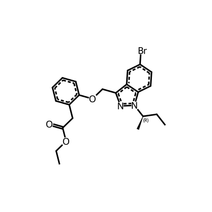 CCOC(=O)Cc1ccccc1OCc1nn([C@H](C)CC)c2ccc(Br)cc12